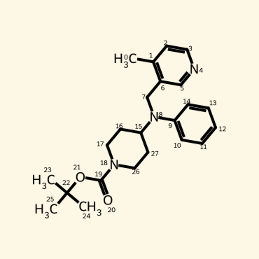 Cc1ccncc1CN(c1ccccc1)C1CCN(C(=O)OC(C)(C)C)CC1